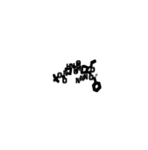 C=CC[C@@H]1CN(S(=O)(=O)NC2CN(C(=O)OC(C)(C)C)C2)C[C@]1(N=[N+]=[N-])C(=O)O[C@H](C)c1ccccc1